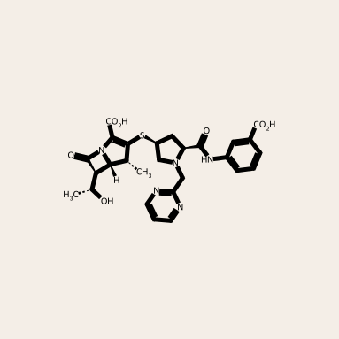 C[C@@H](O)[C@H]1C(=O)N2C(C(=O)O)=C(S[C@H]3C[C@@H](C(=O)Nc4cccc(C(=O)O)c4)N(Cc4ncccn4)C3)[C@H](C)[C@H]12